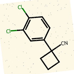 N#CC1(c2ccc(Cl)c(Cl)c2)CCC1